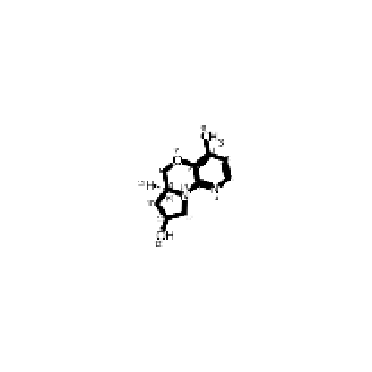 Cc1ccnc2c1OC[C@@H]1CC(O)CN21